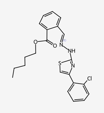 CCCCCOC(=O)c1ccccc1/C=N/Nc1nc(-c2ccccc2Cl)cs1